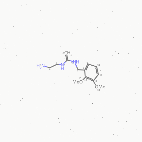 C=C(NCCN)NCc1cccc(OC)c1OC